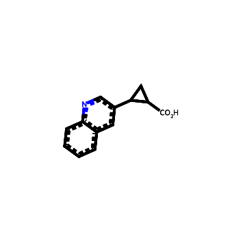 O=C(O)C1CC1c1cnc2ccccc2c1